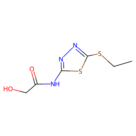 CCSc1nnc(NC(=O)CO)s1